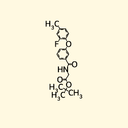 Cc1ccc(Oc2cccc(C(=O)NCC(=O)OC(C)(C)C)c2)c(F)c1